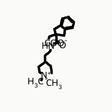 C[N+]1(C)CCC(CCNC(=O)C2(CC(=O)[O-])Cc3ccccc3C2)CC1